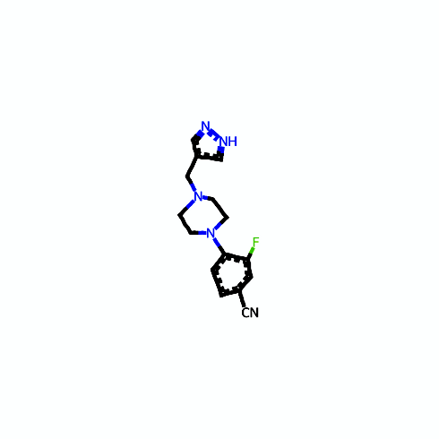 N#Cc1ccc(N2CCN(Cc3cn[nH]c3)CC2)c(F)c1